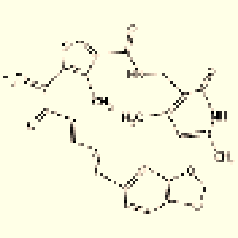 C=C(C(=O)C=CC=Cc1ccc2c(c1)OCO2)c1scc(C(=O)NCc2c(C)cc(C)[nH]c2=O)c1C